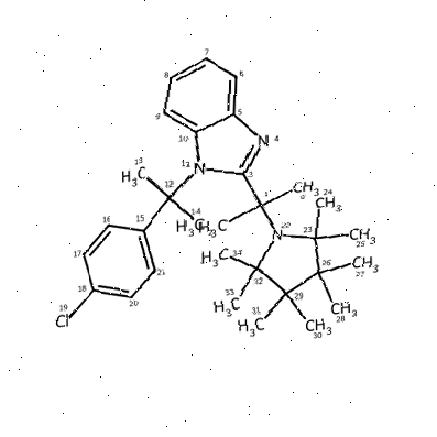 CC(C)(c1nc2ccccc2n1C(C)(C)c1ccc(Cl)cc1)N1C(C)(C)C(C)(C)C(C)(C)C1(C)C